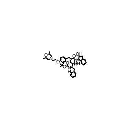 CC1CN(CCOc2ccc(CC(CC(O)C(Cc3ccccc3)NC(=O)OC(C)(C)C)C(=O)N[C@H]3c4ccccc4C[C@@H]3O)cc2)CC(C)O1